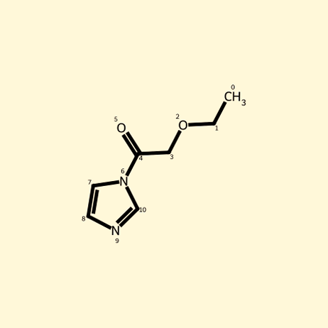 CCOCC(=O)n1ccnc1